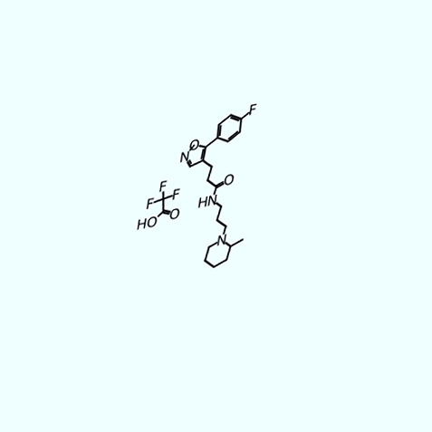 CC1CCCCN1CCCNC(=O)CCc1cnoc1-c1ccc(F)cc1.O=C(O)C(F)(F)F